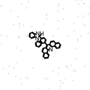 CC1(c2ccc(-c3c4ccc5ccccc5c4nc4c3ccc3ccccc34)cc2)Nc2ccccc2N1c1ccccc1